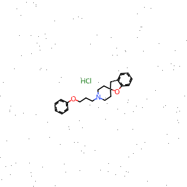 Cl.c1ccc(OCCCN2CCC3(CC2)Cc2ccccc2O3)cc1